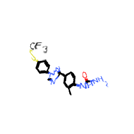 Cc1cc(-c2ncn(-c3ccc(SC(F)(F)F)cc3)n2)ccc1NC(N)=O